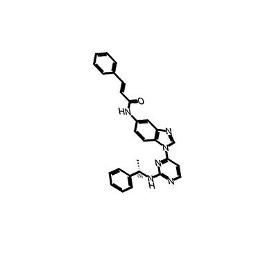 C[C@H](Nc1nccc(-n2cnc3cc(NC(=O)C=Cc4ccccc4)ccc32)n1)c1ccccc1